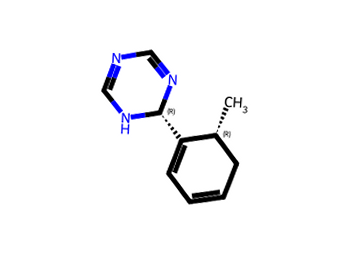 C[C@@H]1CC=CC=C1[C@H]1N=CN=CN1